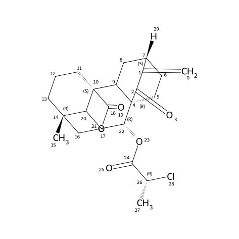 C=C1C(=O)[C@]23CC[C@H]1CC2[C@@]12CCC[C@@](C)(COC1=O)C2C[C@H]3OC(=O)[C@@H](C)Cl